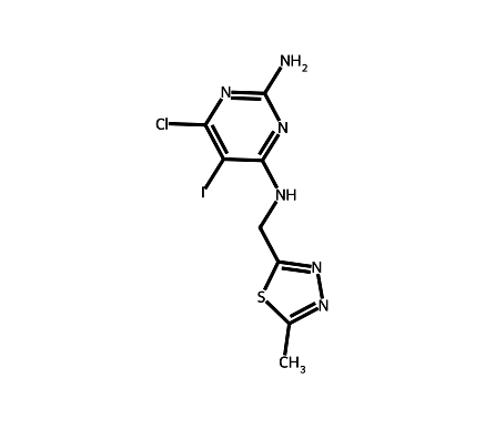 Cc1nnc(CNc2nc(N)nc(Cl)c2I)s1